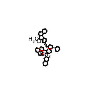 Cc1cccc(N(c2ccc(-c3ccccc3)cc2)c2ccc3c(c2)C(C)(C)c2ccc4ccccc4c2-3)c1-c1ccccc1[SiH](c1ccc2ccccc2c1)c1ccc2ccccc2c1